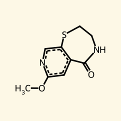 COc1cc2c(cn1)SCCNC2=O